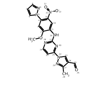 COc1cc(-n2cccn2)c([N+](=O)[O-])cc1Nc1nccc(-n2cc(C=O)c(C)n2)n1